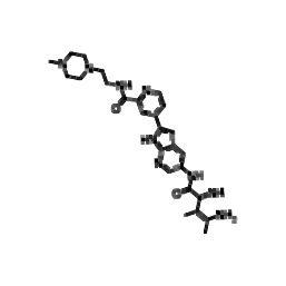 C/C(N)=C(\C)C(=N)C(=O)Nc1cnc2[nH]c(-c3ccnc(C(=O)NCCN4CCN(C)CC4)c3)cc2c1